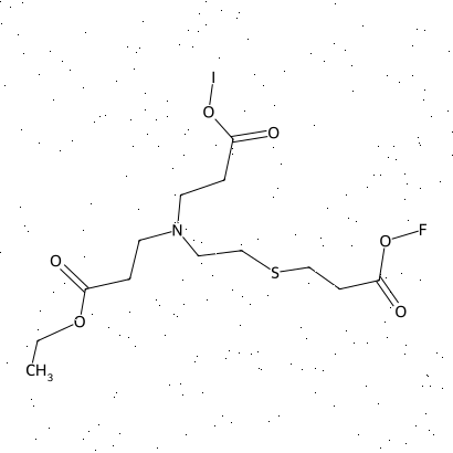 CCOC(=O)CCN(CCSCCC(=O)OF)CCC(=O)OI